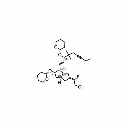 CCC#CCC(C)(C)[C@@H](C=C[C@@H]1[C@H]2CC(=C(F)CO)C[C@H]2C[C@H]1OC1CCCCO1)OC1CCCCO1